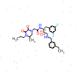 CCCN1C(=O)C(=O)N(CC(=O)N[C@@H](Cc2cc(F)cc(F)c2)[C@@H](O)CNCc2cccc(CC)c2)C[C@H]1C